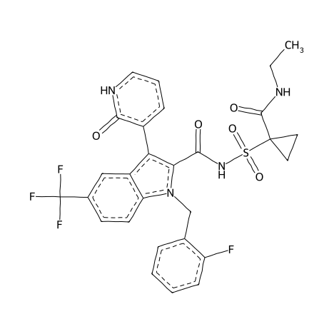 CCNC(=O)C1(S(=O)(=O)NC(=O)c2c(-c3ccc[nH]c3=O)c3cc(C(F)(F)F)ccc3n2Cc2ccccc2F)CC1